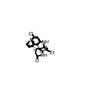 C=C(CC)[C@H]1NC(=O)C[C@H](c2ccsc2)[C@]12C(=O)Nc1cc(Cl)ccc12